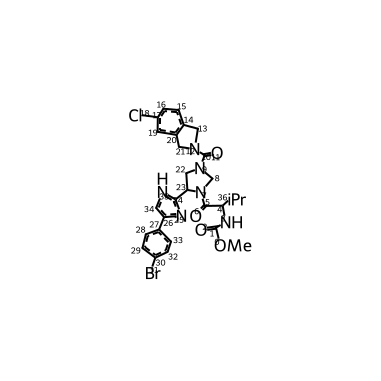 COC(=O)NC(C(=O)N1CN(C(=O)N2Cc3ccc(Cl)cc3C2)CC1c1nc(-c2ccc(Br)cc2)c[nH]1)C(C)C